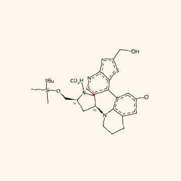 CC(C)(C)[Si](C)(C)OC[C@@H]1C[C@H](N2CCCc3cc(Cl)cc(-c4ccnc5cc(CO)sc45)c32)CN1C(=O)O